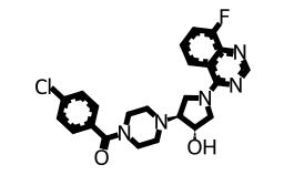 O=C(c1ccc(Cl)cc1)N1CCN([C@H]2CN(c3ncnc4c(F)cccc34)C[C@@H]2O)CC1